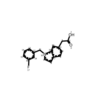 O=C(O)Cc1ccc2ccn(Cc3cccc(F)c3)c2c1